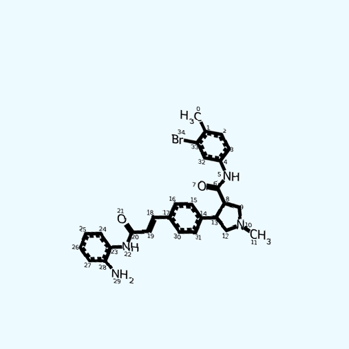 Cc1ccc(NC(=O)C2CN(C)CC2c2ccc(/C=C/C(=O)Nc3ccccc3N)cc2)cc1Br